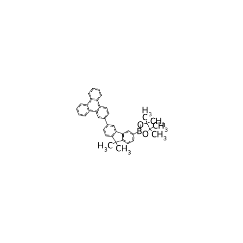 CC1(C)c2ccc(B3OC(C)(C)C(C)(C)O3)cc2-c2cc(-c3ccc4c5ccccc5c5ccccc5c4c3)ccc21